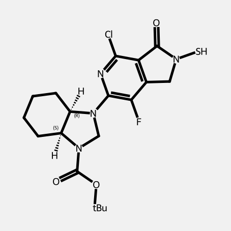 CC(C)(C)OC(=O)N1CN(c2nc(Cl)c3c(c2F)CN(S)C3=O)[C@@H]2CCCC[C@@H]21